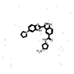 N[C@H]1CC[C@H](NC(=O)c2ccc3[nH]nc(-c4nc5ccc(N6CCCC6)cc5[nH]4)c3c2)C1